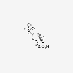 CS(=O)(=O)OCCN(CC(=O)O)S(C)(=O)=O